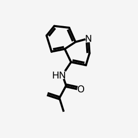 C=C(C)C(=O)Nc1ccnc2ccccc12